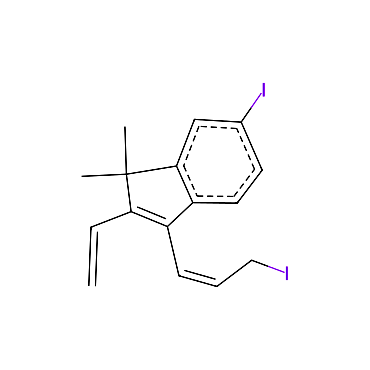 C=CC1=C(/C=C\CI)c2ccc(I)cc2C1(C)C